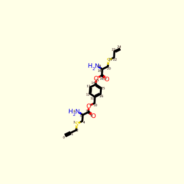 C#CCSCC(N)C(=O)OCc1ccc(OC(=O)C(N)CSCC=C)cc1